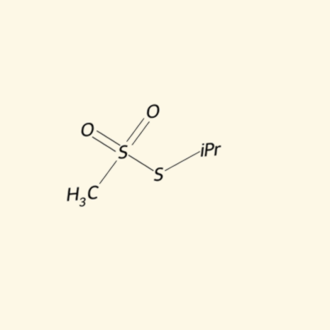 CC(C)SS(C)(=O)=O